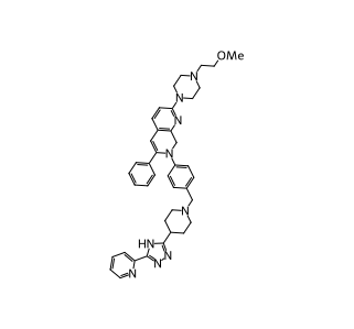 COCCN1CCN(c2ccc3c(n2)CN(c2ccc(CN4CCC(c5nnc(-c6ccccn6)[nH]5)CC4)cc2)C(c2ccccc2)=C3)CC1